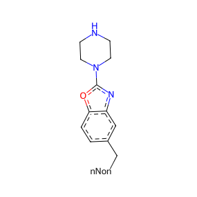 CCCCCCCCCCc1ccc2oc(N3CCNCC3)nc2c1